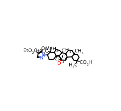 CCOC(=O)c1cnn(C2CCC3(C)C(CCC4(C)C3C(=O)C=C3C5CC(C)(C(=O)O)CCC5(C)CCC34C)C2(C)C(=O)O)c1OC